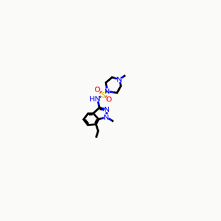 CCc1cccc2c(NS(=O)(=O)N3CCN(C)CC3)nn(C)c12